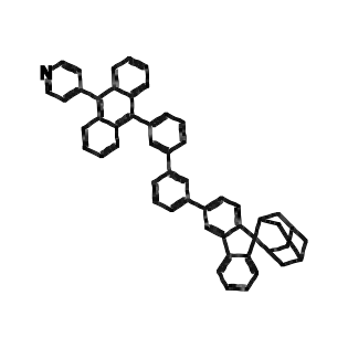 c1cc(-c2cccc(-c3c4ccccc4c(-c4ccncc4)c4ccccc34)c2)cc(-c2ccc3c(c2)-c2ccccc2C32C3CC4CC(C3)CC2C4)c1